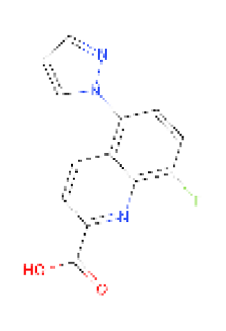 O=C(O)c1ccc2c(-n3cccn3)ccc(F)c2n1